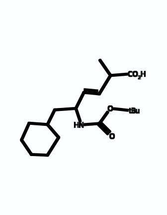 CC(C=CC(CC1CCCCC1)NC(=O)OC(C)(C)C)C(=O)O